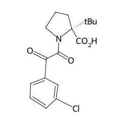 CC(C)(C)[C@@]1(C(=O)O)CCCN1C(=O)C(=O)c1cccc(Cl)c1